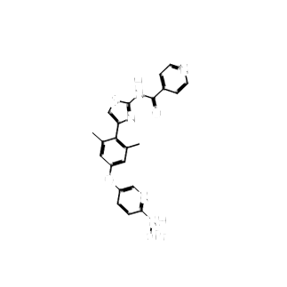 CCCNc1ccc(Oc2cc(C)c(-c3csc(NC(=O)c4ccncc4)n3)c(C)c2)cn1